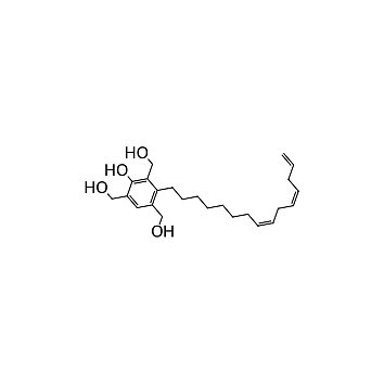 C=CC/C=C\C/C=C\CCCCCCCc1c(CO)cc(CO)c(O)c1CO